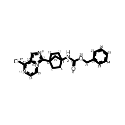 O=C(NC12CCC(c3ncc4c(Cl)nccn34)(CC1)C2)OCc1ccccc1